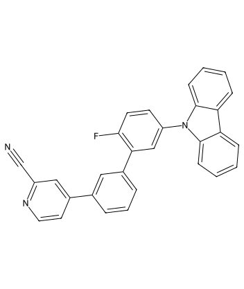 N#Cc1cc(-c2cccc(-c3cc(-n4c5ccccc5c5ccccc54)ccc3F)c2)ccn1